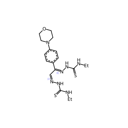 CCNC(=S)N/N=C\C(=N\NC(=S)NCC)c1ccc(N2CCOCC2)cc1